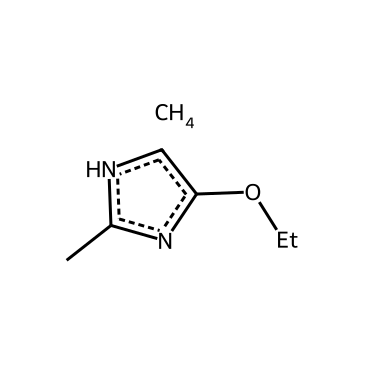 C.CCOc1c[nH]c(C)n1